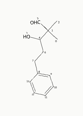 CC(C)(C=O)C(O)CCc1ccccc1